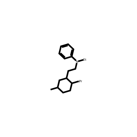 CCN(CCC1CC(C)CCC1C(C)C)c1ccccc1